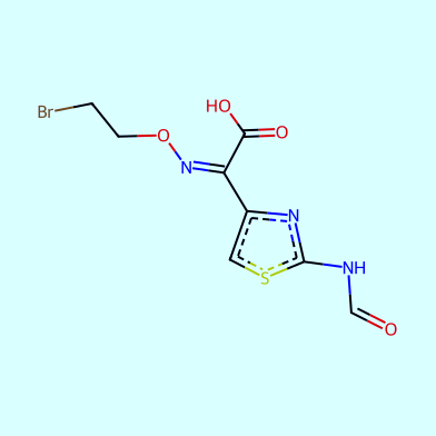 O=CNc1nc(C(=NOCCBr)C(=O)O)cs1